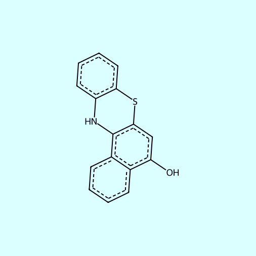 Oc1cc2c(c3ccccc13)Nc1ccccc1S2